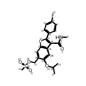 CNC(=O)c1c(-c2ccc(F)cc2)oc2cc(COS(C)(=O)=O)c(OC(C)C)cc12